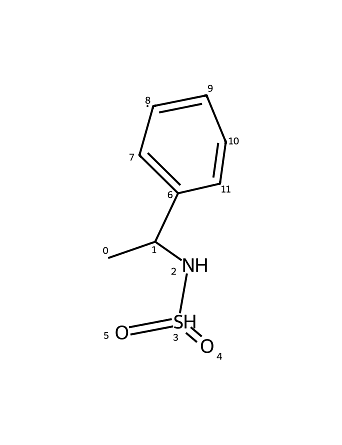 CC(N[SH](=O)=O)c1c[c]ccc1